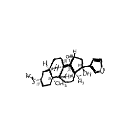 CC(=O)S[C@H]1CC[C@@]2(C)[C@H](CC[C@@H]3[C@@H]2CC[C@@]2(C)[C@@]34O[C@@H]4C[C@]2(O)c2ccoc2)C1